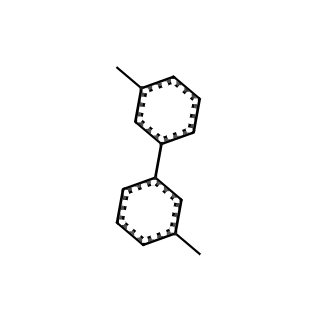 [CH2]c1cccc(-c2cccc(C)c2)c1